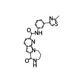 Cc1nc(-c2cccc(NC(=O)c3ccc4cc5n(c4n3)CCCNC5=O)c2)cs1